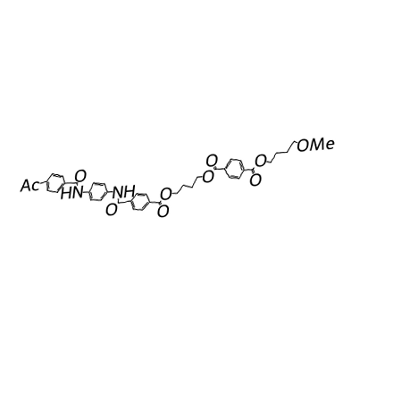 COCCCCOC(=O)c1ccc(C(=O)OCCCCOC(=O)c2ccc(C(=O)Nc3ccc(NC(=O)c4ccc(C(C)=O)cc4)cc3)cc2)cc1